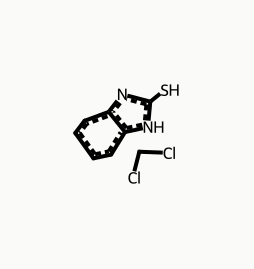 ClCCl.Sc1nc2ccccc2[nH]1